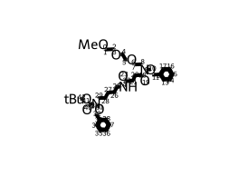 COCCOCCOCCN(OCc1ccccc1)C(=O)CCC(=O)NCCCCCN(OCc1ccccc1)C(=O)OC(C)(C)C